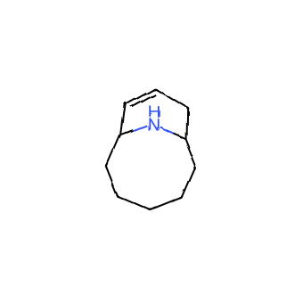 C1=CC2CCCCCC(C1)N2